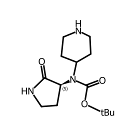 CC(C)(C)OC(=O)N(C1CCNCC1)[C@H]1CCNC1=O